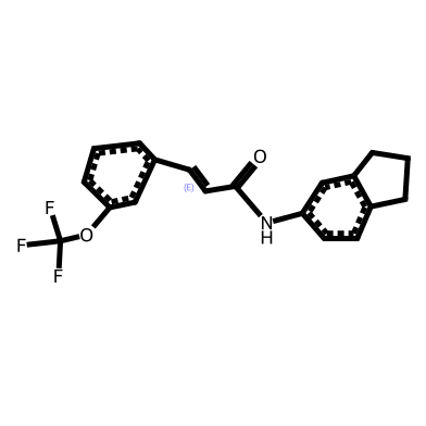 O=C(/C=C/c1cccc(OC(F)(F)F)c1)Nc1ccc2c(c1)CCC2